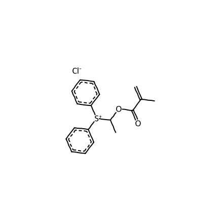 C=C(C)C(=O)OC(C)[S+](c1ccccc1)c1ccccc1.[Cl-]